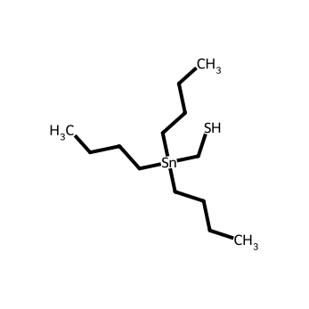 CCC[CH2][Sn]([CH2]S)([CH2]CCC)[CH2]CCC